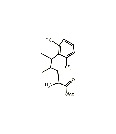 COC(=O)C(N)CC(C)C(C)c1c(C(F)(F)F)cccc1C(F)(F)F